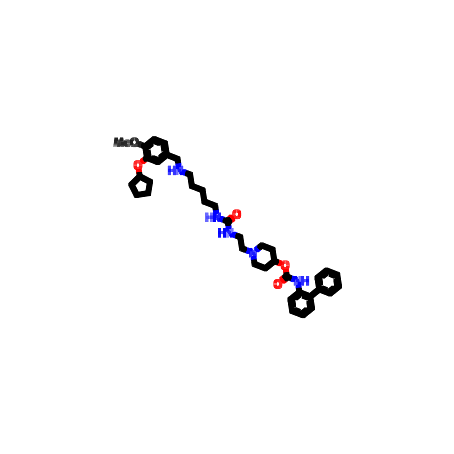 COc1ccc(CNCCCCCNC(=O)NCCN2CCC(OC(=O)Nc3ccccc3-c3ccccc3)CC2)cc1OC1CCCC1